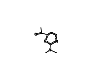 CC(=O)c1ccnc(N(C)C)n1